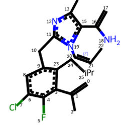 C=C(C)c1c(F)c(Cl)cc(Cc2nc(C)c(C(=C)N)n2/C=C\C)c1CC(C)C